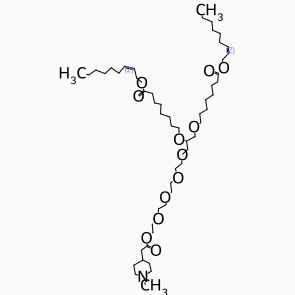 CCCCCC/C=C\COC(=O)CCCCCCCOCC(COCCOCCOCCOCCOC(=O)CC1CCN(C)CC1)OCCCCCCCC(=O)OC/C=C\CCCCCC